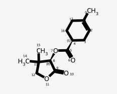 CC1=CC[C@@H](C(=O)O[C@H]2C(=O)OCC2(C)C)CC1